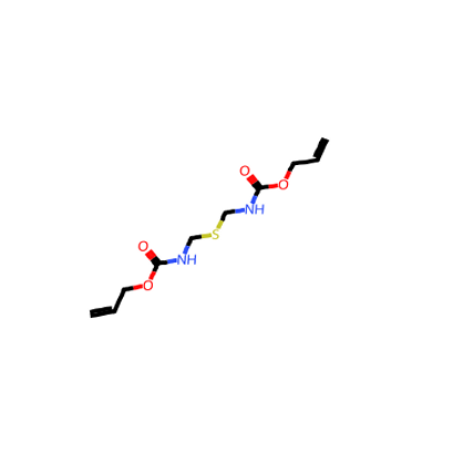 C=CCOC(=O)NCSCNC(=O)OCC=C